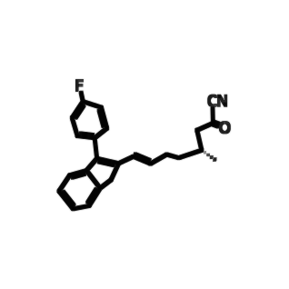 C[C@H](CC/C=C/C1=C(c2ccc(F)cc2)c2ccccc2C1)CC(=O)C#N